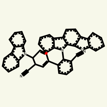 N#Cc1cccc(C2=CC(C#N)C(n3c4ccccc4c4ccccc43)C=C2)c1-n1c2ccccc2c2ccc3c4ccccc4oc3c21